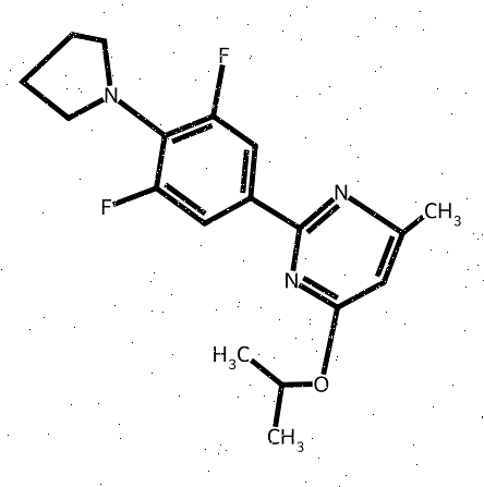 Cc1cc(OC(C)C)nc(-c2cc(F)c(N3CCCC3)c(F)c2)n1